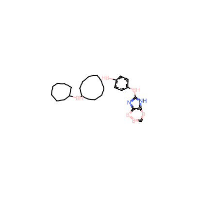 b1bc2nc(Bc3ccc(BC4CCCCC(BC5CCCCCCC5)CCCC4)cc3)[nH]c2bc1